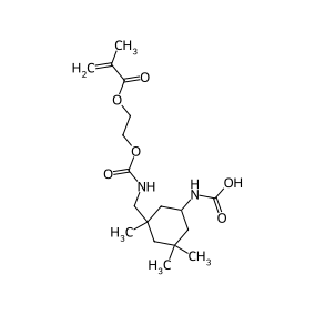 C=C(C)C(=O)OCCOC(=O)NCC1(C)CC(NC(=O)O)CC(C)(C)C1